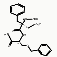 NC(=O)[C@H](COCc1ccccc1)NC(=O)[C@@](CC(=O)O)(Cc1ccccc1)NC=O